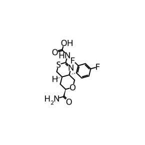 NC(=O)[C@H]1C[C@H]2CSC(NC(=O)O)=N[C@@]2(c2ccc(F)cc2F)CO1